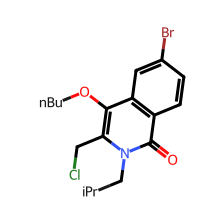 CCCCOc1c(CCl)n(CC(C)C)c(=O)c2ccc(Br)cc12